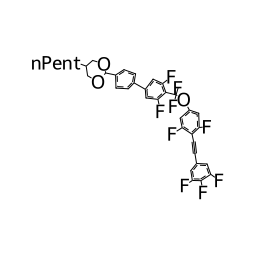 CCCCCC1COC(c2ccc(-c3cc(F)c(C(F)(F)Oc4cc(F)c(C#Cc5cc(F)c(F)c(F)c5)c(F)c4)c(F)c3)cc2)OC1